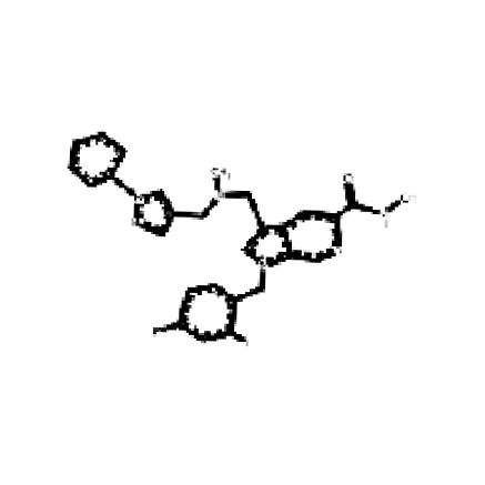 CN(Cc1cnn(-c2ccccc2)c1)Cc1cn(Cc2ccc(F)cc2F)c2cnc(C(=O)NO)cc12